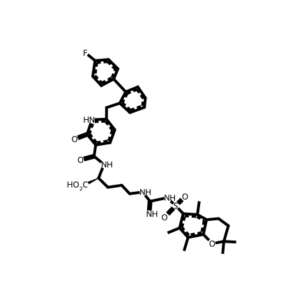 Cc1c(C)c(S(=O)(=O)NC(=N)NCCC[C@H](NC(=O)c2ccc(Cc3ccccc3-c3ccc(F)cc3)[nH]c2=O)C(=O)O)c(C)c2c1OC(C)(C)CC2